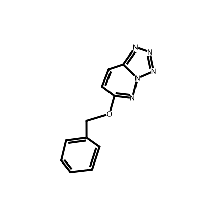 c1ccc(COc2ccc3nnnn3n2)cc1